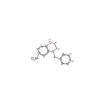 O=[N+]([O-])c1ccc2c(c1)N(Cc1ccccc1)CCO2